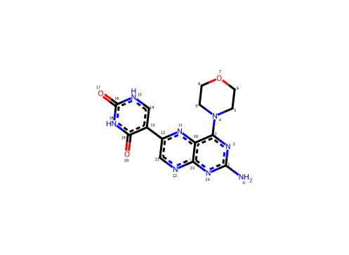 Nc1nc(N2CCOCC2)c2nc(-c3c[nH]c(=O)[nH]c3=O)cnc2n1